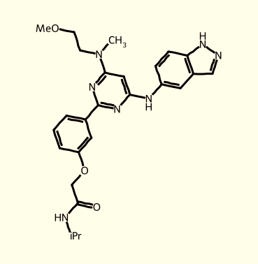 COCCN(C)c1cc(Nc2ccc3[nH]ncc3c2)nc(-c2cccc(OCC(=O)NC(C)C)c2)n1